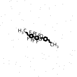 CCCCc1c(F)c(F)c(-c2c(F)c(F)c(OC(=O)C3CCC(CCCC)CC3)c(F)c2F)c(F)c1F